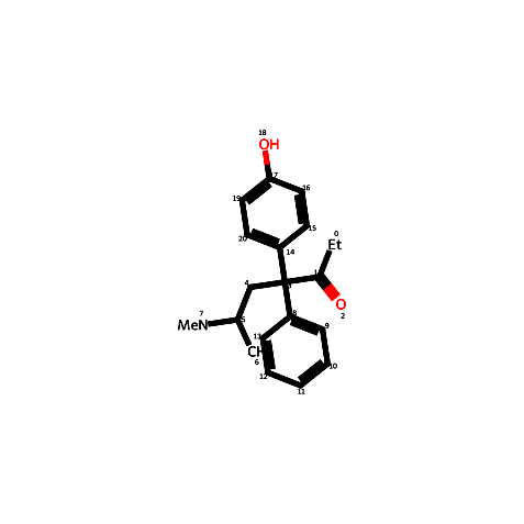 CCC(=O)C(CC(C)NC)(c1ccccc1)c1ccc(O)cc1